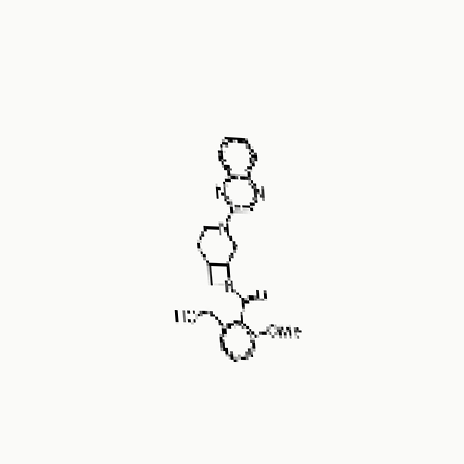 COc1cccc(CO)c1C(=O)N1CC2CCN(c3cnc4ccccc4n3)CC21